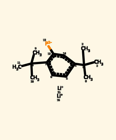 CC(C)(C)c1ccc(C(C)(C)C)c([P-2])c1.[Li+].[Li+]